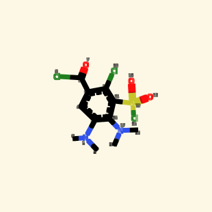 CN(C)c1cc(C(=O)Cl)c(Cl)c(S(=O)(=O)Cl)c1N(C)C